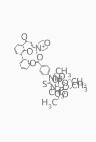 CCOP(=O)(OCC)C(N(C)C(=S)Nc1ccc(C(=O)OC[N+]2(c3cc(=O)c4cccc(-c5ccccc5)c4o3)CCOCC2)cc1)P(=O)(OCC)OCC